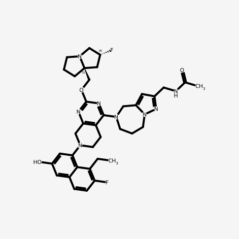 CCc1c(F)ccc2cc(O)cc(N3CCc4c(nc(OC[C@@]56CCCN5C[C@H](F)C6)nc4N4CCCn5nc(CNC(C)=O)cc5C4)C3)c12